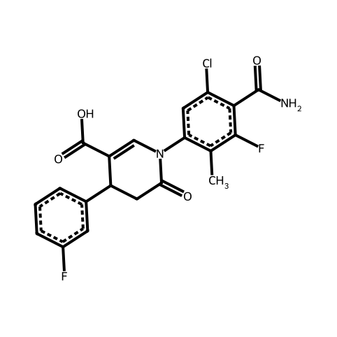 Cc1c(N2C=C(C(=O)O)C(c3cccc(F)c3)CC2=O)cc(Cl)c(C(N)=O)c1F